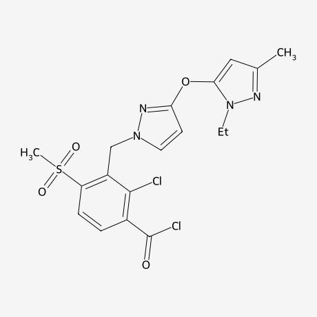 CCn1nc(C)cc1Oc1ccn(Cc2c(S(C)(=O)=O)ccc(C(=O)Cl)c2Cl)n1